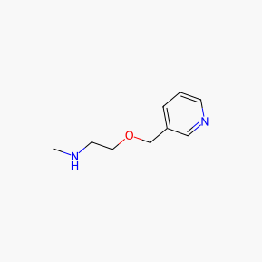 CNCCOCc1cccnc1